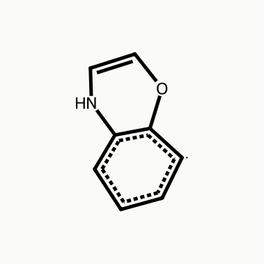 [c]1cccc2c1OC=CN2